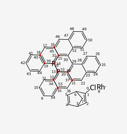 ClC1=CC2C=CC1C2.[Rh].c1ccc(P(c2ccccc2)c2ccc3ccccc3c2-c2c(P(c3ccccc3)c3ccccc3)ccc3ccccc23)cc1